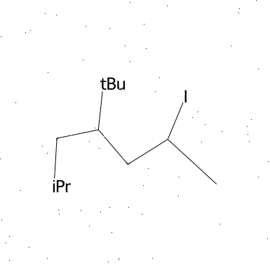 CC(C)CC(CC(C)I)C(C)(C)C